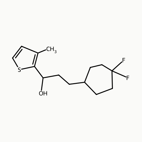 Cc1ccsc1C(O)CCC1CCC(F)(F)CC1